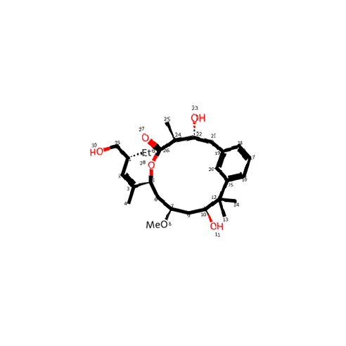 CC[C@H](/C=C(/C)[C@@H]1C[C@H](OC)C[C@H](O)C(C)(C)c2cccc(c2)C[C@@H](O)[C@H](C)C(=O)O1)CO